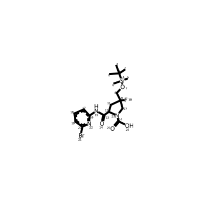 CC(C)(C)[Si](C)(C)OCC1(F)CC(C(=O)Nc2cccc(Br)n2)N(C(=O)O)C1